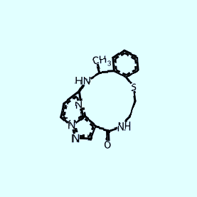 CC1Nc2ccn3ncc(c3n2)C(=O)NCCSc2ccccc21